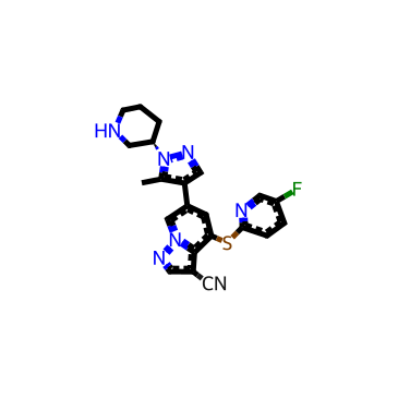 Cc1c(-c2cc(Sc3ccc(F)cn3)c3c(C#N)cnn3c2)cnn1[C@H]1CCCNC1